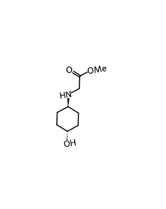 COC(=O)CN[C@H]1CC[C@H](O)CC1